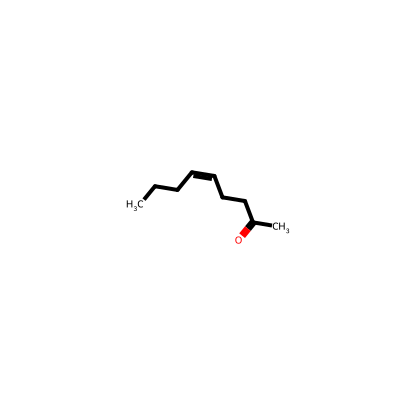 CCC/C=C\CCC(C)=O